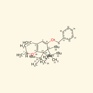 C[SiH](C)OC1=C(C(=O)O)C=C(OCc2ccccc2)C(C(C)(C)C)([Si](C)(C)C(C)(C)C)C1(C(C)(C)C)[Si](C)(C)C(C)(C)C